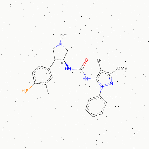 CCCN1CC(c2ccc(P)c(C)c2)[C@H](NC(=O)Nc2c(C#N)c(OC)nn2-c2ccccc2)C1